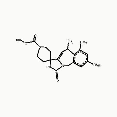 COc1cc2c(c(OC)c1)C(C)C=C1N(C2)C(=O)NC12CCN(C(=O)OC(C)(C)C)CC2